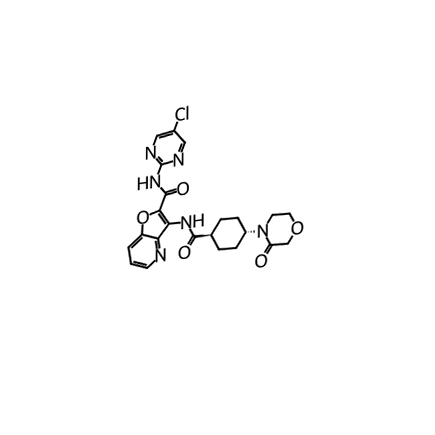 O=C(Nc1ncc(Cl)cn1)c1oc2cccnc2c1NC(=O)[C@H]1CC[C@H](N2CCOCC2=O)CC1